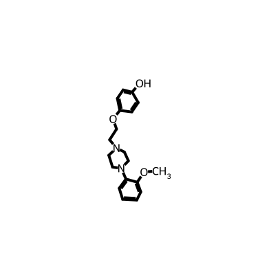 COc1ccccc1N1CCN(CCOc2ccc(O)cc2)CC1